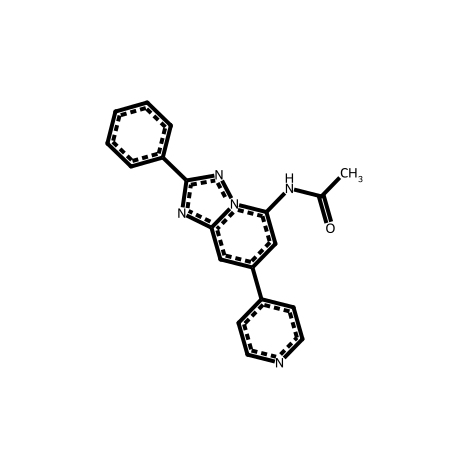 CC(=O)Nc1cc(-c2ccncc2)cc2nc(-c3ccccc3)nn12